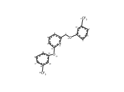 FC(F)(F)c1cccc(OCc2cccc(Oc3cccc(C(F)(F)F)c3)n2)c1